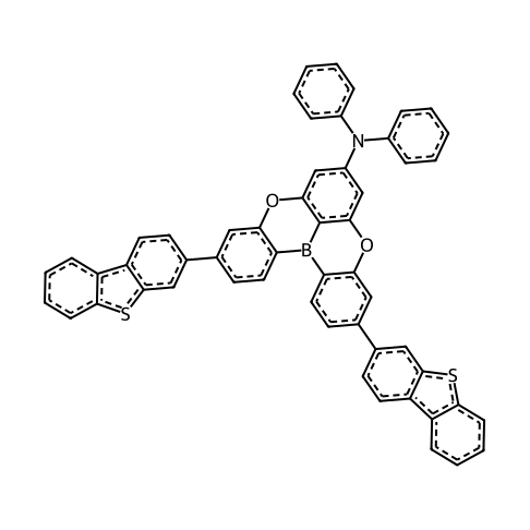 c1ccc(N(c2ccccc2)c2cc3c4c(c2)Oc2cc(-c5ccc6c(c5)sc5ccccc56)ccc2B4c2ccc(-c4ccc5c(c4)sc4ccccc45)cc2O3)cc1